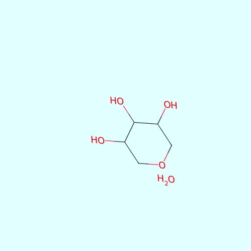 O.OC1COCC(O)C1O